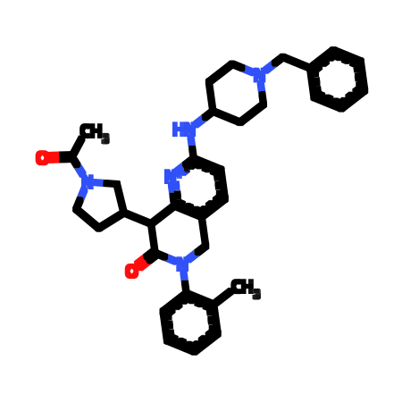 CC(=O)N1CCC(C2C(=O)N(c3ccccc3C)Cc3ccc(NC4CCN(Cc5ccccc5)CC4)nc32)C1